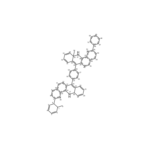 CC1C=CC=CC1c1ccc2ccc3c(c2n1)NC1C=CC=CC1=C3c1ccc(C2=C3C=CC=CC3(C)Nc3c2ccc2ccc(-c4ccccc4)nc32)cc1